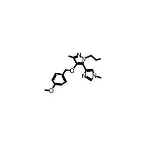 CCCn1nc(C)c(OCc2ccc(OC)cc2)c1-c1cn(C)cn1